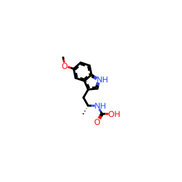 COc1ccc2[nH]cc(C[C@@H](C)NC(=O)O)c2c1